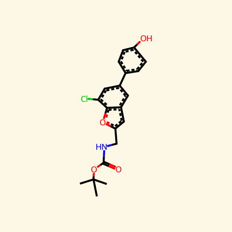 CC(C)(C)OC(=O)NCc1cc2cc(-c3ccc(O)cc3)cc(Cl)c2o1